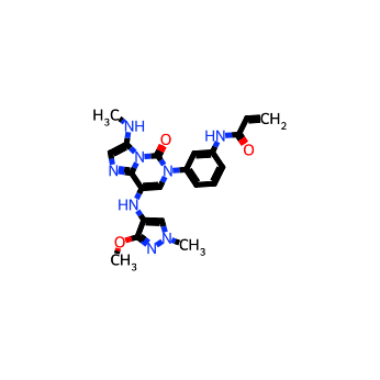 C=CC(=O)Nc1cccc(-n2cc(Nc3cn(C)nc3OC)c3ncc(NC)n3c2=O)c1